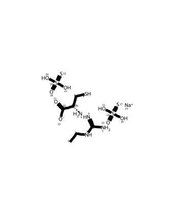 CCNC(=N)N.N[C@@H](CS)C(=O)[O-].O=S(O)(O)=S.O=S(O)(O)=S.[Na+]